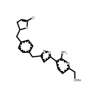 COCc1ccc(-c2cc(Cc3ccc(CC4CC=C(Cl)O4)cc3)no2)c(N)n1